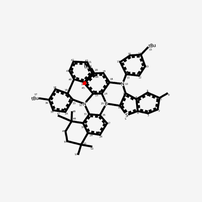 Cc1ccc2sc3c(c2c1)N(c1ccc(C(C)(C)C)cc1)c1cc(C(C)(C)C)cc2c1B3c1ccc3c(c1N2c1ccc(C(C)(C)C)cc1-c1ccccc1)C(C)(C)CCC3(C)C